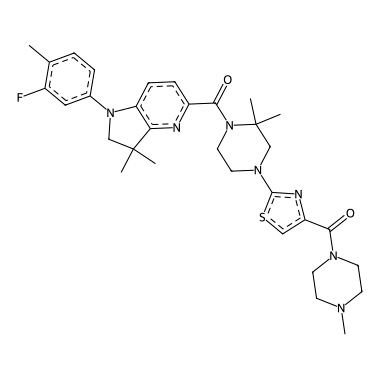 Cc1ccc(N2CC(C)(C)c3nc(C(=O)N4CCN(c5nc(C(=O)N6CCN(C)CC6)cs5)CC4(C)C)ccc32)cc1F